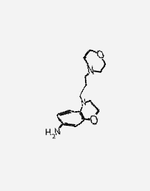 Nc1ccc2c(c1)OCCN2CCCN1CCOCC1